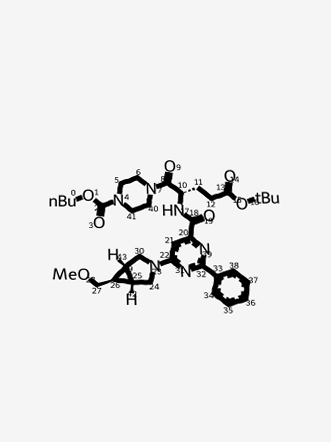 CCCCOC(=O)N1CCN(C(=O)[C@H](CCC(=O)OC(C)(C)C)NC(=O)c2cc(N3C[C@@H]4[C@@H](COC)[C@@H]4C3)nc(-c3ccccc3)n2)CC1